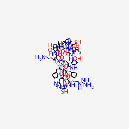 CC(O)[C@H](NC(=O)[C@H](Cc1ccccc1)NC(=O)[C@@H](NC(=O)[C@H](CCCCN)NC(=O)[C@@H](Cc1c[nH]c2ccccc12)NC(=O)[C@H](Cc1ccccc1)NC(=O)[C@H](Cc1ccccc1)NC(=O)[C@H](Cc1c[nH]cn1)NC(=O)[C@H](CCCNC(=N)N)NC(=O)CCS)C(C)O)C(=O)N[C@@H](CO)C(=O)N[C@@H](CS)C(=O)O